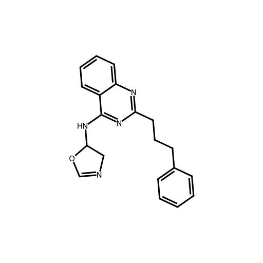 C1=NCC(Nc2nc(CCCc3ccccc3)nc3ccccc23)O1